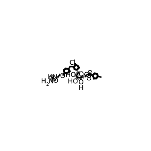 Cc1ccc(S(=O)(=O)OC[C@H]2O[C@@H](c3ccc(Cl)c(Cc4ccc(OCCNS(N)(=O)=O)cc4)c3)[C@H](O)[C@H](O)[C@H]2O)cc1